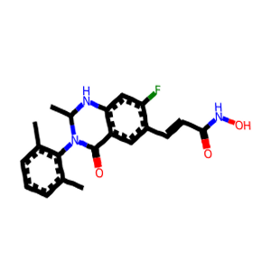 Cc1cccc(C)c1N1C(=O)c2cc(/C=C/C(=O)NO)c(F)cc2NC1C